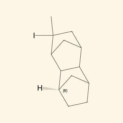 CC1(I)CC2CC1C1C2C2CC[C@@H]1C2